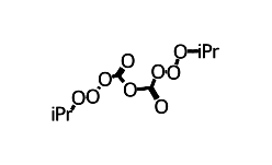 CC(C)OOOC(=O)OC(=O)OOOC(C)C